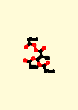 CCCCCC(=O)OOC(=O)C(CC)=C(OC(=O)CCCCC)OC(=O)NC